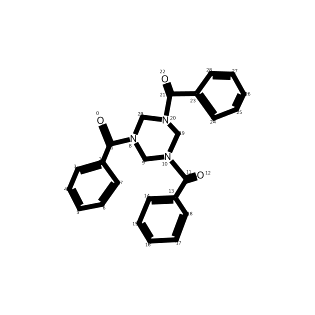 O=C(c1ccccc1)N1CN(C(=O)c2ccccc2)CN(C(=O)c2ccccc2)C1